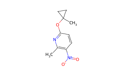 Cc1nc(OC2(C)CC2)ccc1[N+](=O)[O-]